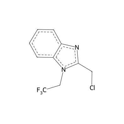 FC(F)(F)Cn1c(CCl)nc2ccccc21